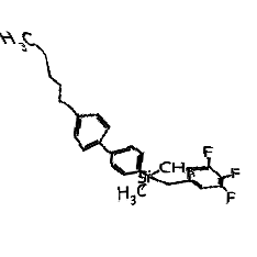 CCCCCc1ccc(-c2ccc([Si](C)(C)Cc3cc(F)c(F)c(F)c3)cc2)cc1